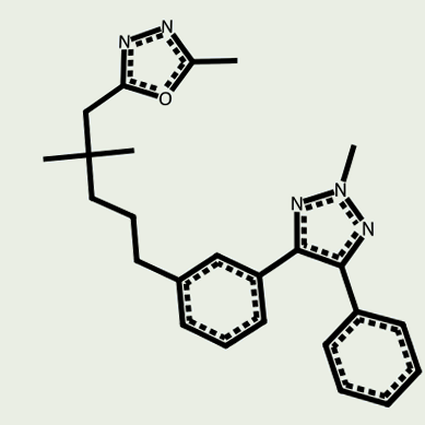 Cc1nnc(CC(C)(C)CCCc2cccc(-c3nn(C)nc3-c3ccccc3)c2)o1